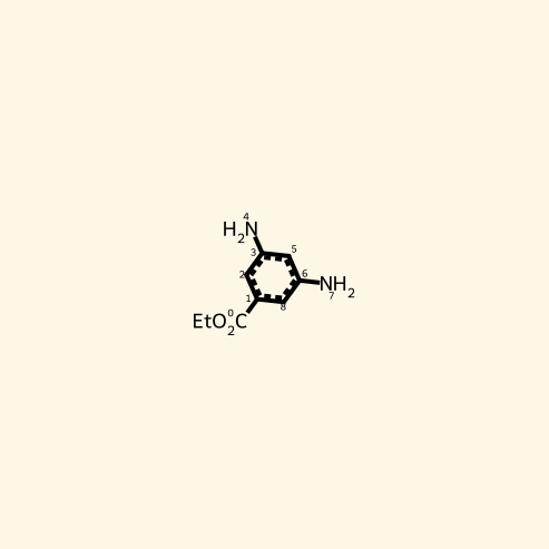 CCOC(=O)c1cc(N)cc(N)c1